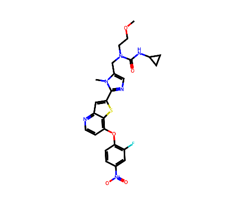 COCCN(Cc1cnc(-c2cc3nccc(Oc4ccc([N+](=O)[O-])cc4F)c3s2)n1C)C(=O)NC1CC1